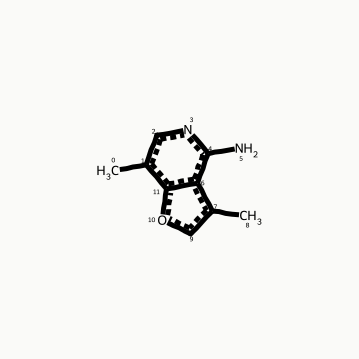 Cc1cnc(N)c2c(C)coc12